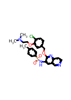 Cc1ccc(S(=O)(=O)Nc2cc3cnccc3nc2OCc2ccc(Cl)c(OCCN(C)C)c2)cc1